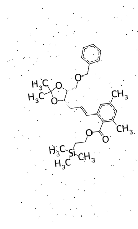 Cc1cc(C)c(C(=O)OCC[Si](C)(C)C)c(/C=C/C[C@@H]2OC(C)(C)O[C@@H]2COCc2ccccc2)c1